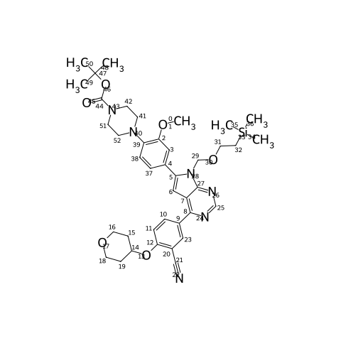 COc1cc(-c2cc3c(-c4ccc(OC5CCOCC5)c(C#N)c4)ncnc3n2COCC[Si](C)(C)C)ccc1N1CCN(C(=O)OC(C)(C)C)CC1